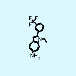 CCn1c(-c2cccc(C(F)(F)F)c2)cc2c1C=CC(N)=CC2